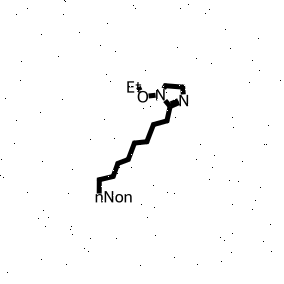 CCCCCCCCCCCCCCCCCC1=NCCN1OCC